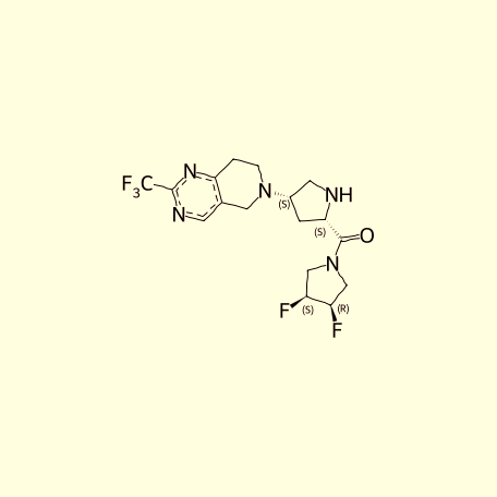 O=C([C@@H]1C[C@H](N2CCc3nc(C(F)(F)F)ncc3C2)CN1)N1C[C@@H](F)[C@@H](F)C1